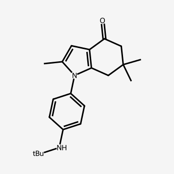 Cc1cc2c(n1-c1ccc(NC(C)(C)C)cc1)CC(C)(C)CC2=O